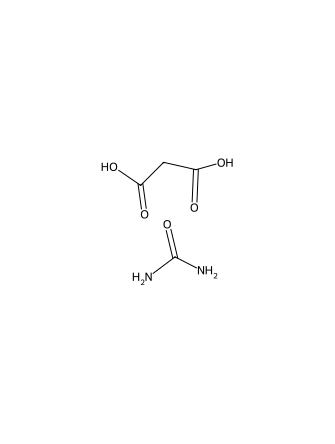 NC(N)=O.O=C(O)CC(=O)O